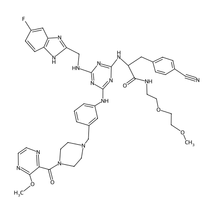 COCCOCCNC(=O)C(Cc1ccc(C#N)cc1)Nc1nc(NCc2nc3cc(F)ccc3[nH]2)nc(Nc2cccc(CN3CCN(C(=O)c4nccnc4OC)CC3)c2)n1